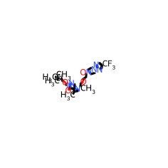 Cc1cn(C(C)COCCC(=O)N2CCN(c3ncc(C(F)(F)F)cn3)CC2)c2cnn(COCC[Si](C)(C)C)c(=O)c12